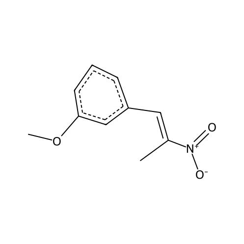 COc1cccc(/C=C(\C)[N+](=O)[O-])c1